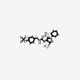 Cc1nn(-c2ccccc2)c(C)c1CC(=O)NCc1ccc(OC(F)(F)F)cc1